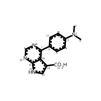 CN(C)c1ccc(-c2ncnc3[nH]cc(C(=O)O)c23)cc1